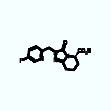 O=C(O)[C@@H]1CCCc2nn(Cc3ccc(F)cn3)c(=O)n21